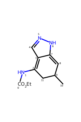 CCOC(=O)NC1=c2cn[nH]c2=CC(C)C1